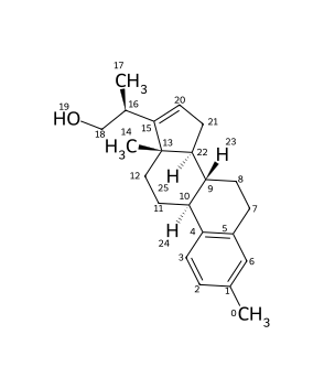 Cc1ccc2c(c1)CC[C@@H]1[C@@H]2CC[C@]2(C)C([C@H](C)CO)=CC[C@@H]12